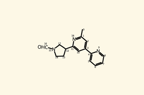 Cc1cc(-c2ccccn2)cc(C2CCN(C=O)C2)n1